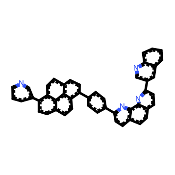 c1cncc(-c2ccc3ccc4c(-c5ccc(-c6ccc7ccc8ccc(-c9cnc%10ccccc%10c9)nc8c7n6)cc5)ccc5ccc2c3c54)c1